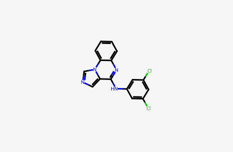 Clc1cc(Cl)cc(Nc2nc3ccccc3n3cncc23)c1